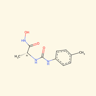 Cc1ccc(NC(=O)N[C@H](C)C(=O)NO)cc1